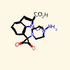 Cn1c(C(=O)O)cc2cccc(C3(N4CCN(N)CC4)C(=O)C3=O)c21